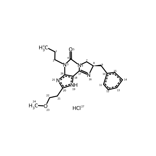 CCCN1C(=O)N2C[C@@H](Cc3ccccc3)N=C2c2[nH]c(CCOC)nc21.Cl